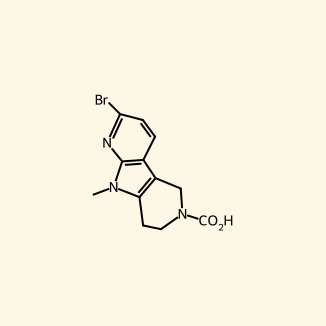 Cn1c2c(c3ccc(Br)nc31)CN(C(=O)O)CC2